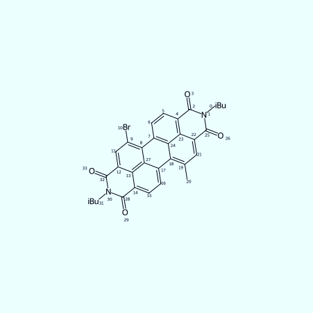 CCC(C)N1C(=O)c2ccc3c4c(Br)cc5c6c(ccc(c7c(C)cc(c2c37)C1=O)c64)C(=O)N(C(C)CC)C5=O